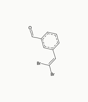 O=Cc1cccc(C=C(Br)Br)c1